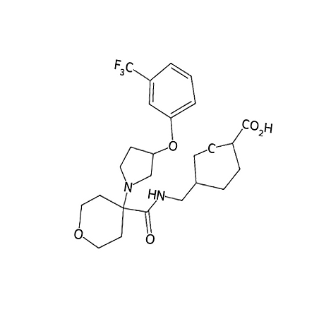 O=C(O)C1CCC(CNC(=O)C2(N3CCC(Oc4cccc(C(F)(F)F)c4)C3)CCOCC2)CC1